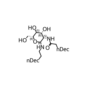 CCCCCCCCCCCCN[C@@H]1O[C@H](CO)[C@@H](O)[C@H](O)[C@@H]1NC(=O)CCCCCCCCCCC